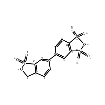 O=S1(=O)OCc2ccc(-c3ccc4c(c3)S(=O)(=O)OS4(=O)=O)cc21